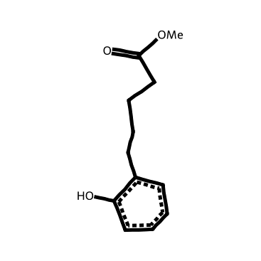 COC(=O)CCCCc1ccccc1O